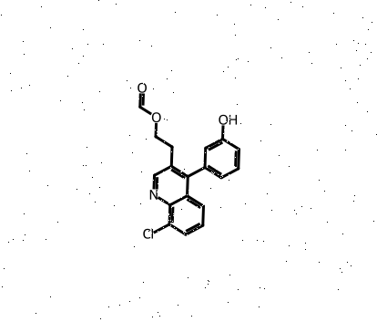 O=COCCc1cnc2c(Cl)cccc2c1-c1cccc(O)c1